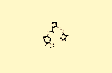 Cc1ccc(NC(=O)c2sccc2S(=O)(=O)Nc2onc(C)c2Cl)cc1S(C)(=O)=O